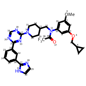 COc1cc(OCC2CC2)cc(N(CC2CCN(c3ncnc(-c4cccc(-c5ncc[nH]5)c4)n3)CC2)C(=O)C(F)(F)F)c1